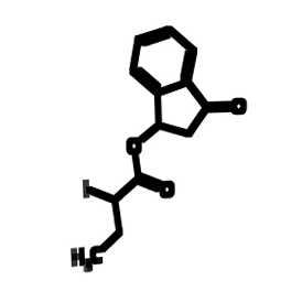 CCC(I)C(=O)OC1CC(=O)c2ccccc21